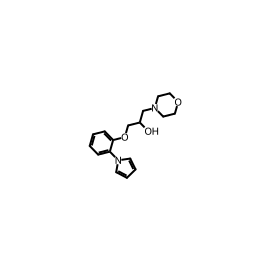 OC(COc1ccccc1-n1cccc1)CN1CCOCC1